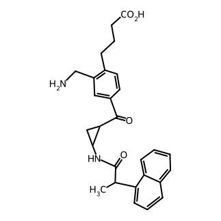 CC(C(=O)NC1CC1C(=O)c1ccc(CCCC(=O)O)c(CN)c1)c1cccc2ccccc12